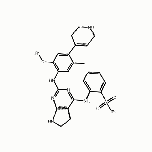 Cc1cc(Nc2nc3c(c(Nc4ccccc4S(=O)(=O)C(C)C)n2)CCN3)c(OC(C)C)cc1C1=CCNCC1